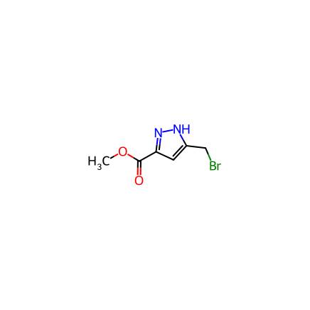 COC(=O)c1cc(CBr)[nH]n1